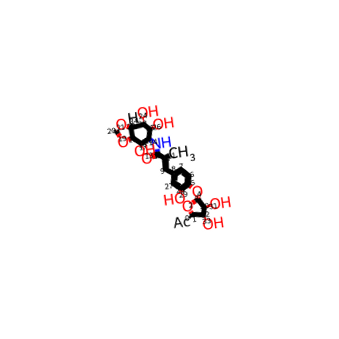 CC(=O)[C@H]1OC(Oc2ccc(/C=C(\C)C(=O)NC3[C@@H](O)C4OCO[C@@H]4[C@H](O)[C@H]3O)cc2O)[C@@H](O)[C@@H]1O